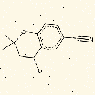 CC1(C)CC(Cl)c2cc(C#N)ccc2O1